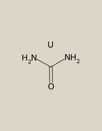 NC(N)=O.[U]